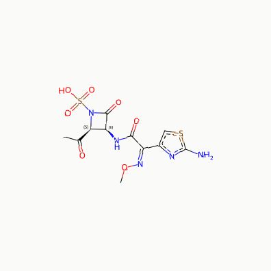 CON=C(C(=O)N[C@@H]1C(=O)N(S(=O)(=O)O)[C@@H]1C(C)=O)c1csc(N)n1